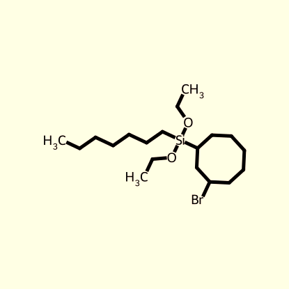 CCCCCCC[Si](OCC)(OCC)C1CCCCCC(Br)C1